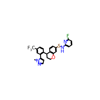 Cn1nccc1-c1cc(C(F)(F)F)ccc1C1CCOc2cc(SNc3cccc(F)n3)ccc21